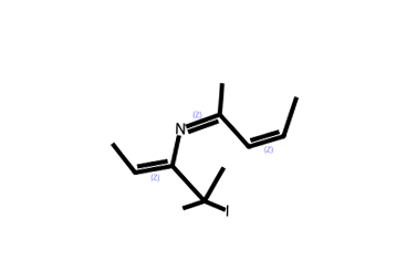 C\C=C/C(C)=N\C(=C/C)C(C)(C)I